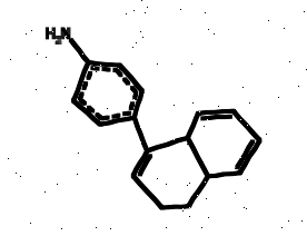 Nc1ccc(C2=CCCC3C=CC=CC23)cc1